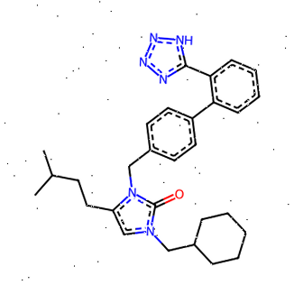 CC(C)CCc1cn(CC2CCCCC2)c(=O)n1Cc1ccc(-c2ccccc2-c2nnn[nH]2)cc1